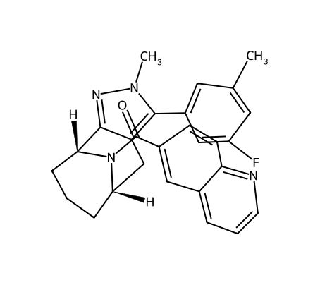 Cc1cc(F)cc(-c2c3c(nn2C)[C@H]2CCC[C@@H](C3)N2C(=O)c2ccc3ncccc3c2)c1